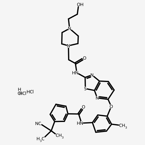 Cc1ccc(NC(=O)c2cccc(C(C)(C)C#N)c2)cc1Oc1ccc2nc(NC(=O)CN3CCN(CCO)CC3)sc2n1.Cl.Cl.Cl